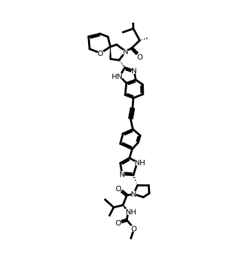 COC(=O)N[C@H](C(=O)N1CCC[C@H]1c1ncc(-c2ccc(C#Cc3ccc4nc([C@@H]5C[C@@]6(CC=CCO6)CN5C(=O)[C@@H](C)C(C)C)[nH]c4c3)cc2)[nH]1)C(C)C